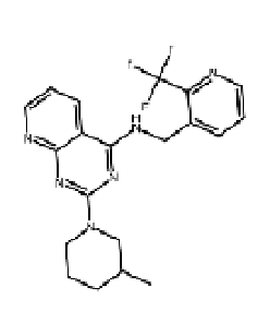 CC1CCCN(c2nc(NCc3cccnc3C(F)(F)F)c3cccnc3n2)C1